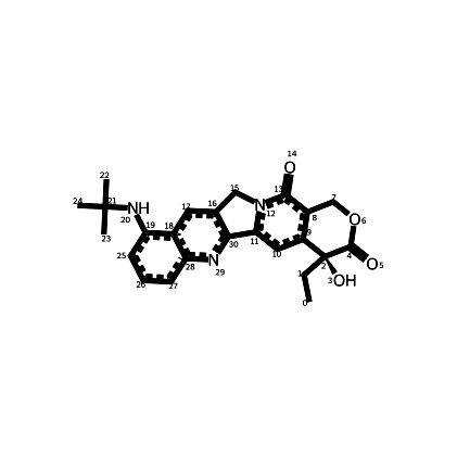 CC[C@@]1(O)C(=O)OCc2c1cc1n(c2=O)Cc2cc3c(NC(C)(C)C)cccc3nc2-1